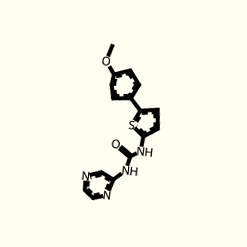 COc1ccc(-c2ccc(NC(=O)Nc3cnccn3)s2)cc1